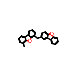 Cc1cccc2c1oc1c(Cc3ccc4oc5ccccc5c4c3)cccc12